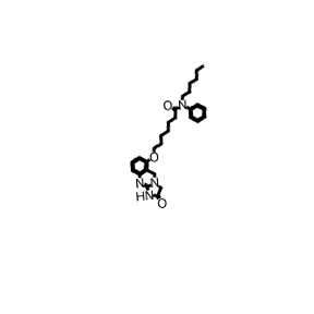 CCCCCCN(C(=O)CCCCCCOc1cccc2c1CN1CC(=O)NC1=N2)c1ccccc1